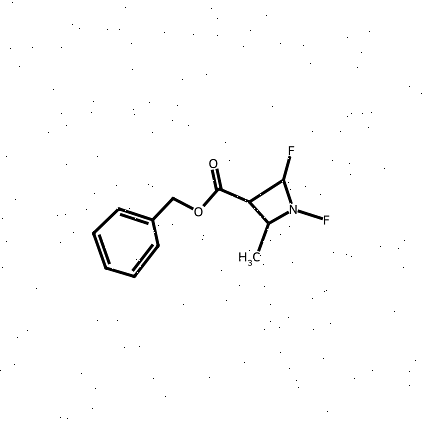 CC1C(C(=O)OCc2ccccc2)C(F)N1F